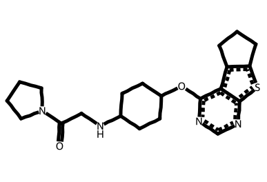 O=C(CNC1CCC(Oc2ncnc3sc4c(c23)CCC4)CC1)N1CCCC1